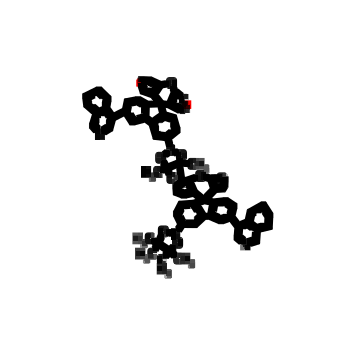 CC1(C)OB(c2ccc3c(c2)-c2cc(-c4cncc5ccccc45)ccc2C32c3ccccc3Oc3c2cccc3C2(C)OB(c3ccc4c(c3)-c3cc(-c5cncc6ccccc56)ccc3C43c4ccccc4Oc4ccccc43)OC2(C)C)OC1(C)C